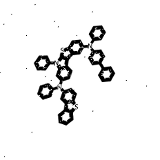 c1ccc(-c2ccc(N(c3ccccc3)c3ccc4sc5c(c4c3)c3ccc(N(c4ccccc4)c4ccc6sc7ccccc7c6c4)cc3n5-c3ccccc3)cc2)cc1